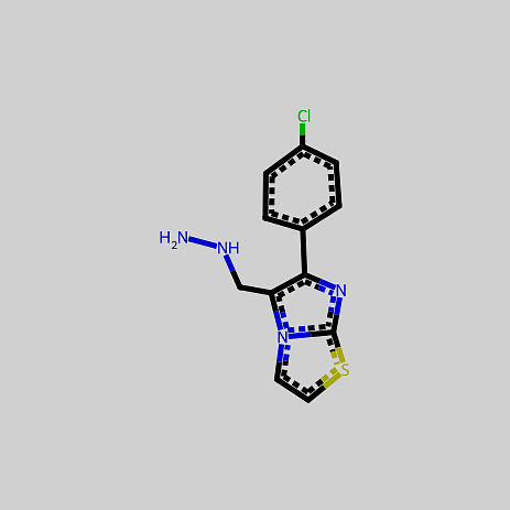 NNCc1c(-c2ccc(Cl)cc2)nc2sccn12